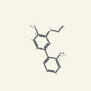 CCSc1cc(-c2ccccc2N)ccc1N